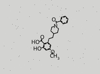 COc1cc(O)c(C(=O)O)c(CCC2CCN(C(=O)c3ccccc3)CC2)c1